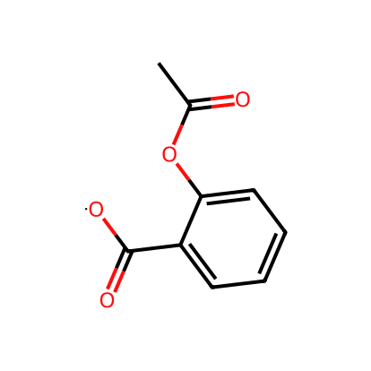 CC(=O)Oc1ccccc1C([O])=O